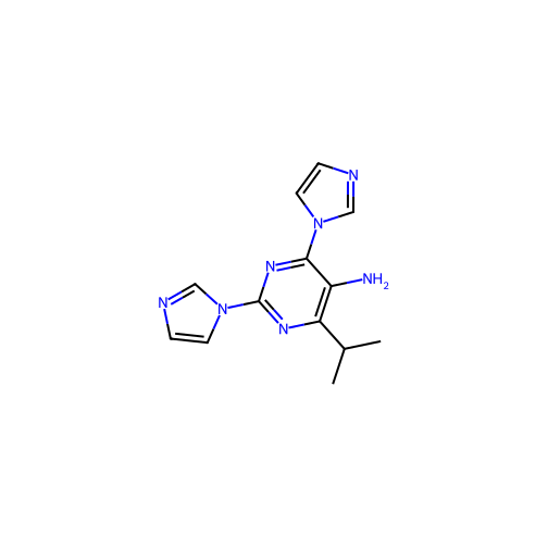 CC(C)c1nc(-n2ccnc2)nc(-n2ccnc2)c1N